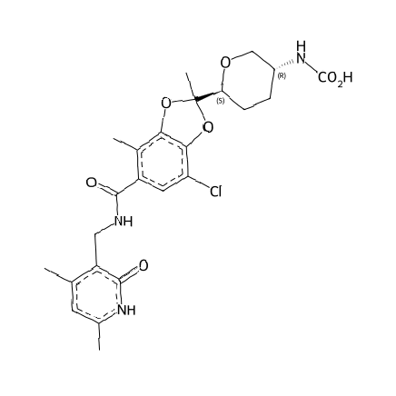 Cc1cc(C)c(CNC(=O)c2cc(Cl)c3c(c2C)OC(C)([C@@H]2CC[C@@H](NC(=O)O)CO2)O3)c(=O)[nH]1